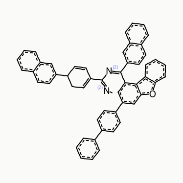 C/N=C(\N=C(\c1ccc2ccccc2c1)c1cc(-c2ccc(-c3ccccc3)cc2)cc2oc3ccccc3c12)C1=CCC(c2ccc3ccccc3c2)C=C1